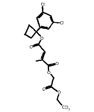 C/C(=C\C(=O)OC1(c2cc(Cl)cc(Cl)c2)CCC1)C(=O)OCC(=O)OCC(Cl)(Cl)Cl